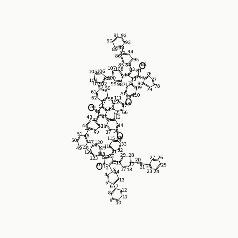 O=C1C(c2ccc(-c3ccccc3)cc2)=C(c2ccc(C#Cc3ccccc3)cc2)C(c2ccc(Oc3ccc(C4=C(c5ccc(-c6ccccc6)cc5)C(=O)C(c5ccccc5)=C4c4ccc(Oc5ccc(C6=C(c7ccccc7)C(=O)C(c7ccc(-c8ccccc8)cc7)=C6c6ccc(-c7ccccc7)cc6)cc5)cc4)cc3)cc2)=C1c1ccccc1